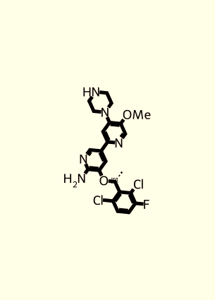 COc1cnc(-c2cnc(N)c(O[C@H](C)c3c(Cl)ccc(F)c3Cl)c2)cc1N1CCNCC1